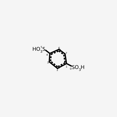 O=S(=O)(O)c1[c]cc(S(=O)(=O)O)[c]c1